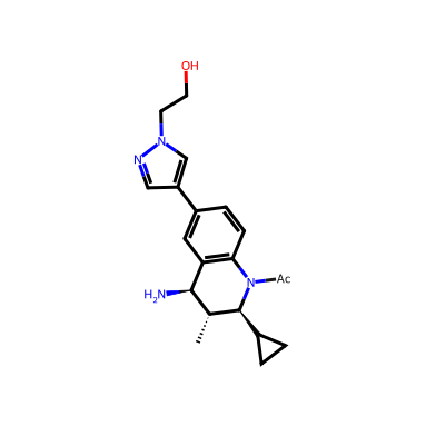 CC(=O)N1c2ccc(-c3cnn(CCO)c3)cc2[C@H](N)[C@@H](C)[C@@H]1C1CC1